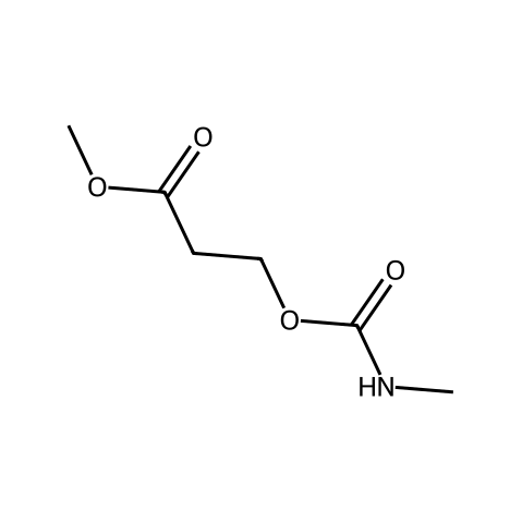 CNC(=O)OCCC(=O)OC